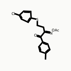 CC(=O)O/N=C(\CCSc1ccc(Cl)cc1)C(=O)c1ccc(C)cc1